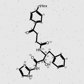 CCCCCCc1ccc(C(=O)CCC(=O)N[C@@H](Cc2ccccc2)[C@@H](O)C(=O)Nc2ncc[nH]2)cc1